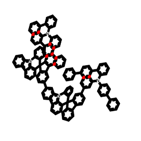 c1ccc(-c2ccc(-c3ccccc3N(c3ccc(-c4ccccc4)cc3)c3cccc(-c4ccc5c(c4)C4(c6ccccc6-5)c5ccccc5-n5c6cc(-c7ccc8c(c7)-c7ccc(-c9cccc(N(c%10ccccc%10-c%10ccccc%10)c%10ccccc%10-c%10ccc(-c%11ccccc%11)cc%10)c9)cc7C87c8ccccc8-n8c9ccccc9c9cccc7c98)ccc6c6cccc4c65)c3)cc2)cc1